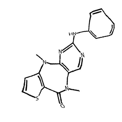 CN1C(=O)c2sccc2N(C)c2nc(Nc3ccccc3)ncc21